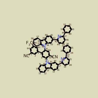 N#Cc1cc(-c2cc(-n3c4ccccc4c4ccc(-c5cccc(-c6ccccc6)n5)cc43)c(C#N)cc2-n2c3c(c4ccc(-c5cccc(-c6ccccc6)n5)cc42)C=CCC3)cc(C(F)(F)F)c1